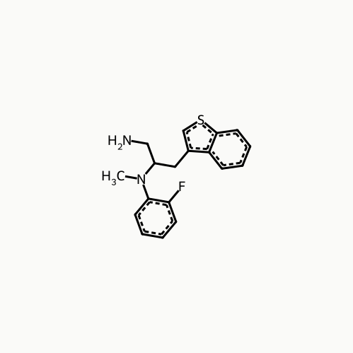 CN(c1ccccc1F)C(CN)Cc1csc2ccccc12